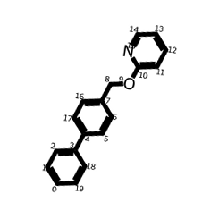 c1ccc(-c2ccc(COc3ccccn3)cc2)cc1